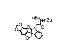 CCCCN(CCCC)C(=O)CN1C(=O)C2(COc3cc4c(cc32)OCO4)c2ccccc21